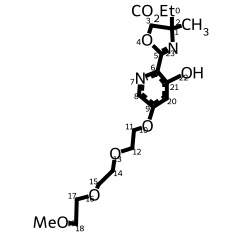 CCOC(=O)C1(C)COC(c2ncc(OCCOCCOCCOC)cc2O)=N1